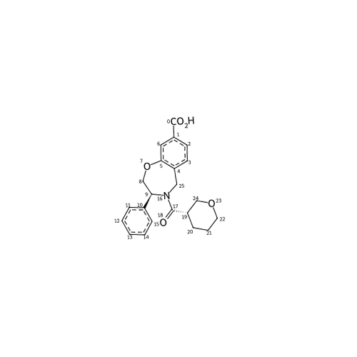 O=C(O)c1ccc2c(c1)OC[C@H](c1ccccc1)N(C(=O)[C@H]1CCCOC1)C2